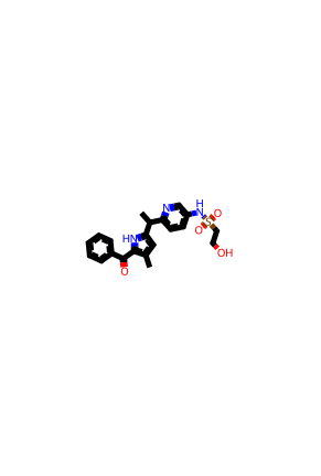 Cc1cc(C(C)c2ccc(NS(=O)(=O)CCO)cn2)[nH]c1C(=O)c1ccccc1